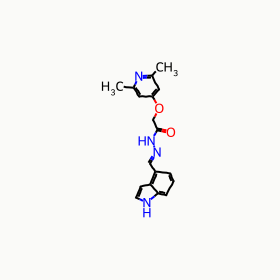 Cc1cc(OCC(=O)NN=Cc2cccc3[nH]ccc23)cc(C)n1